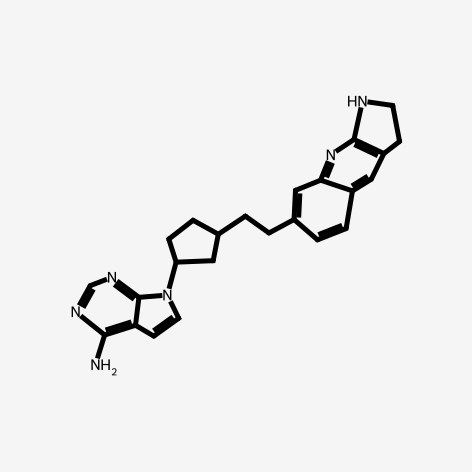 Nc1ncnc2c1ccn2C1CCC(CCc2ccc3cc4c(nc3c2)NCC4)C1